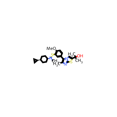 COc1ccc(-c2c(C)nc3sc(C(C)(C)O)cn23)cc1SN(C)[C@H]1CC[C@@H](C2CC2)CC1